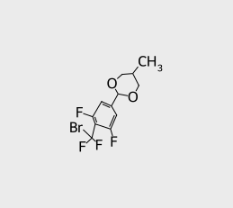 CC1COC(c2cc(F)c(C(F)(F)Br)c(F)c2)OC1